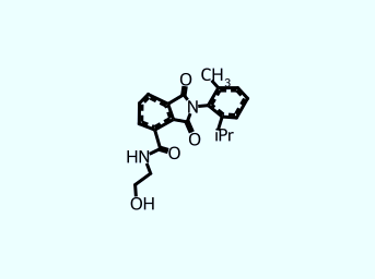 Cc1cccc(C(C)C)c1N1C(=O)c2cccc(C(=O)NCCO)c2C1=O